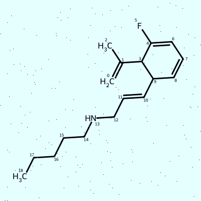 C=C(C)C1C(F)=CC=CC1/C=C/CNCCCCC